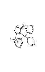 O=C1OCC(C(F)F)N1C(c1ccccc1)(c1ccccc1)c1ccccc1